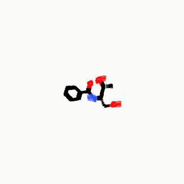 C[C@@H](O)[C@H](CO)NC(=O)c1ccccc1